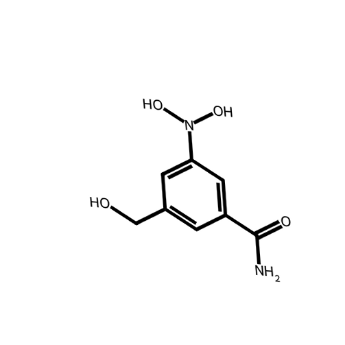 NC(=O)c1cc(CO)cc(N(O)O)c1